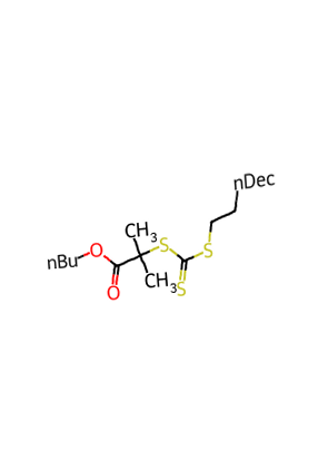 CCCCCCCCCCCCSC(=S)SC(C)(C)C(=O)OCCCC